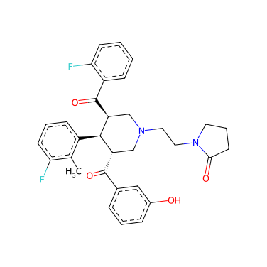 Cc1c(F)cccc1[C@@H]1[C@@H](C(=O)c2cccc(O)c2)CN(CCN2CCCC2=O)C[C@@H]1C(=O)c1ccccc1F